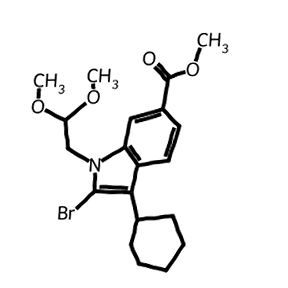 COC(=O)c1ccc2c(C3CCCCC3)c(Br)n(CC(OC)OC)c2c1